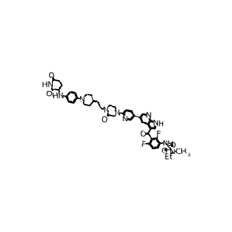 CCN(C)S(=O)(=O)Nc1ccc(F)c(C(=O)c2c[nH]c3ncc(-c4ccc(N5CCN(CCC6CCN(c7ccc(NC8CCC(=O)NC8=O)cc7)CC6)C(=O)C5)nc4)cc23)c1F